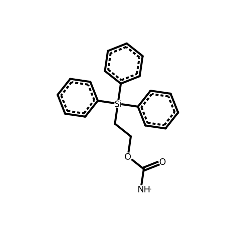 [NH]C(=O)OCC[Si](c1ccccc1)(c1ccccc1)c1ccccc1